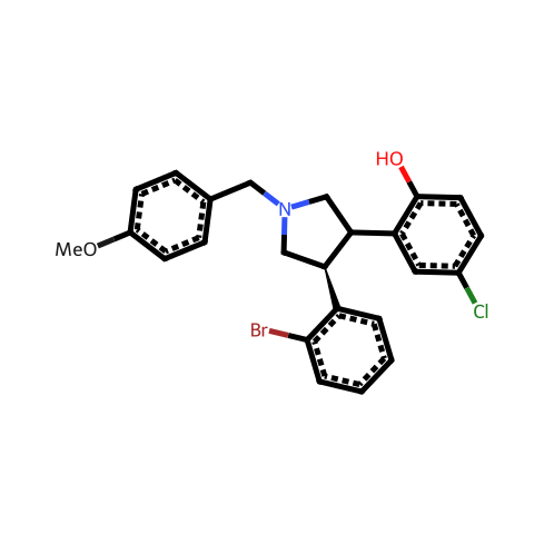 COc1ccc(CN2CC(c3cc(Cl)ccc3O)[C@@H](c3ccccc3Br)C2)cc1